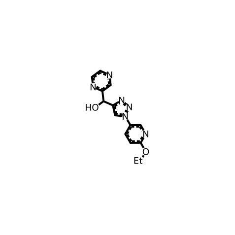 CCOc1ccc(-n2cc(C(O)c3cnccn3)nn2)cn1